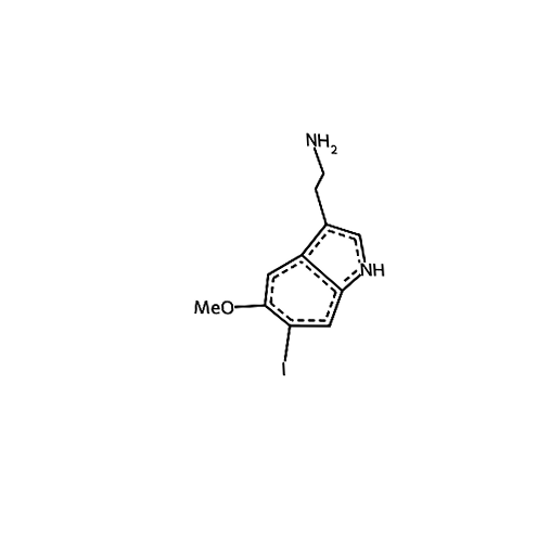 COc1cc2c(CCN)c[nH]c2cc1I